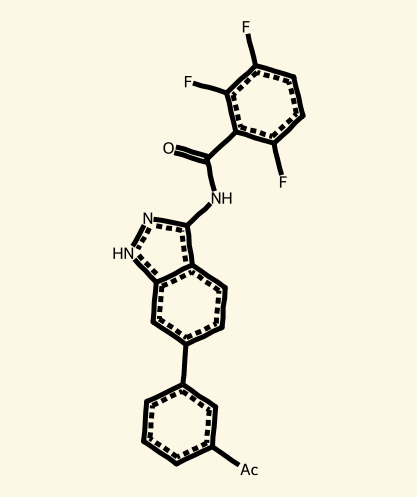 CC(=O)c1cccc(-c2ccc3c(NC(=O)c4c(F)ccc(F)c4F)n[nH]c3c2)c1